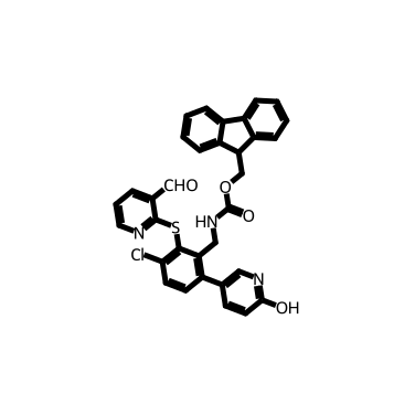 O=Cc1cccnc1Sc1c(Cl)ccc(-c2ccc(O)nc2)c1CNC(=O)OCC1c2ccccc2-c2ccccc21